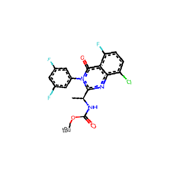 CC(NC(=O)OC(C)(C)C)c1nc2c(Cl)ccc(F)c2c(=O)n1-c1cc(F)cc(F)c1